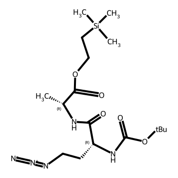 C[C@@H](NC(=O)[C@@H](CCN=[N+]=[N-])NC(=O)OC(C)(C)C)C(=O)OCC[Si](C)(C)C